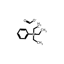 CC[N+](CC)(CC)c1ccccc1.O=C[O-]